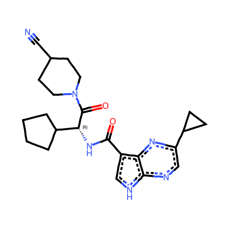 N#CC1CCN(C(=O)[C@H](NC(=O)c2c[nH]c3ncc(C4CC4)nc23)C2CCCC2)CC1